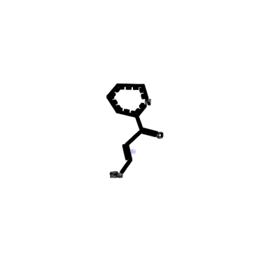 CC(C)(C)/C=C/C(=O)c1ccccn1